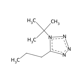 CCCc1nnnn1C(C)(C)C